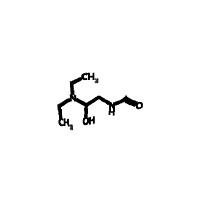 CCN(CC)C(O)CN[C]=O